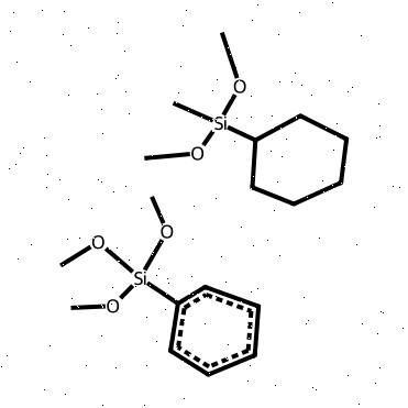 CO[Si](C)(OC)C1CCCCC1.CO[Si](OC)(OC)c1ccccc1